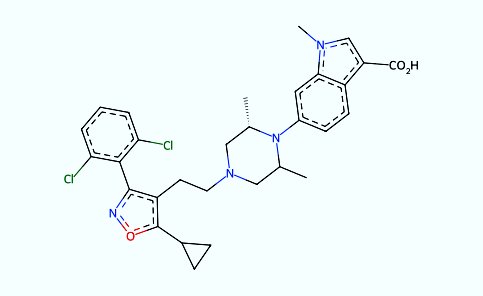 CC1CN(CCc2c(-c3c(Cl)cccc3Cl)noc2C2CC2)C[C@H](C)N1c1ccc2c(C(=O)O)cn(C)c2c1